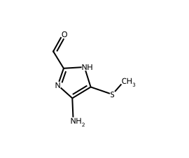 CSc1[nH]c(C=O)nc1N